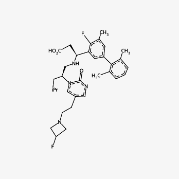 Cc1cc(-c2c(C)cccc2C)cc([C@H](CC(=O)O)NC[C@H](CC(C)C)n2cc(CCN3CC(F)C3)cnc2=O)c1F